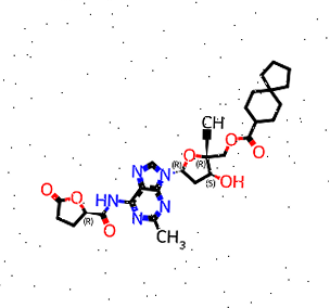 C#C[C@]1(COC(=O)C2CCC3(CCCC3)CC2)O[C@@H](n2cnc3c(NC(=O)[C@H]4CCC(=O)O4)nc(C)nc32)C[C@@H]1O